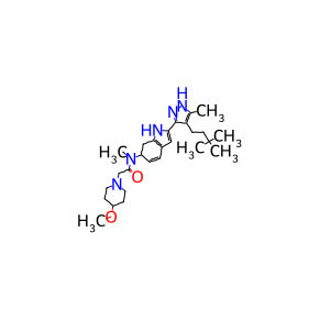 COC1CCN(CC(=O)N(C)C2C=Cc3cc(-c4n[nH]c(C)c4CCC(C)(C)C)[nH]c3C2)CC1